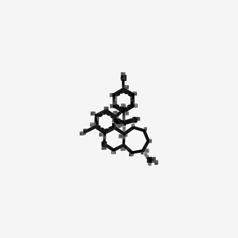 N[C@H]1CCC[C@]2(S(=O)(=O)c3ccc(Cl)cc3)c3c(F)ccc(F)c3OCC2C1